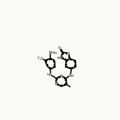 CC(=O)Nc1ccc(Nc2ncc(C)c(Nc3ccc4oc(=O)[nH]c4c3)n2)cc1C(F)(F)F